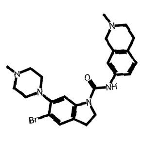 CN1CCN(c2cc3c(cc2Br)CCN3C(=O)Nc2ccc3c(c2)CN(C)CC3)CC1